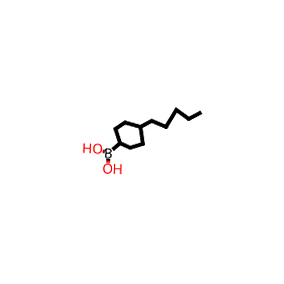 CCCCCC1CCC(B(O)O)CC1